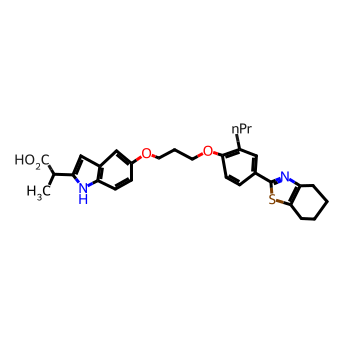 CCCc1cc(-c2nc3c(s2)CCCC3)ccc1OCCCOc1ccc2[nH]c(C(C)C(=O)O)cc2c1